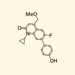 COCc1cc(=O)n(C2CC2)c2cc(-c3ccc(O)cc3)c(F)cc12